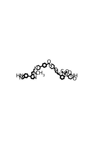 Cn1c(CN2CCC(c3ccc(C(=O)N4CCC(OCC#Cc5cccc6c5n(C)c(=O)n6C5CCC(=O)NC5=O)CC4)cc3)CC2)cc2c(-c3ccc4[nH]ncc4c3)ccnc21